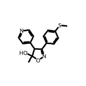 CSc1ccc(C2=NOC(C)(O)C2c2ccncc2)cc1